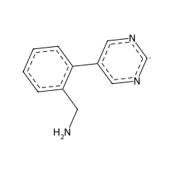 NCc1ccccc1-c1cn[c]nc1